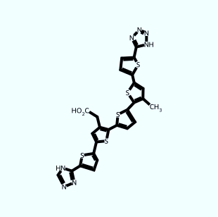 Cc1cc(-c2ccc(-c3nnn[nH]3)s2)sc1-c1ccc(-c2sc(-c3ccc(-c4nnc[nH]4)s3)cc2CC(=O)O)s1